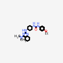 CCOc1ccc(NC(=O)N[C@H]2CC[C@@H](Nc3nc4c(c(N(C)C)n3)CCCC4)CC2)cc1